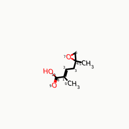 C/C(=C\CC1(C)CO1)C(=O)O